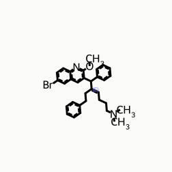 COc1nc2ccc(Br)cc2cc1C(/C(=C/CCCN(C)C)CCc1ccccc1)c1ccccc1